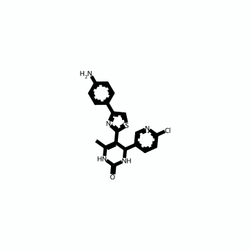 CC1=C(c2nc(-c3ccc(N)cc3)cs2)C(c2ccc(Cl)nc2)NC(=O)N1